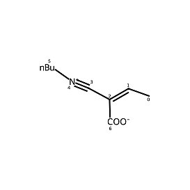 CC=C(C#[N+]CCCC)C(=O)[O-]